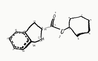 O=C(OC1CCCCC1)[C@H]1Cc2ccccc2N1